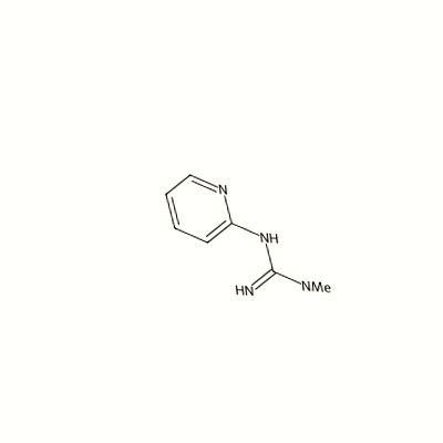 CNC(=N)Nc1ccccn1